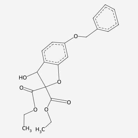 CCOC(=O)C1(C(=O)OCC)Oc2cc(OCc3ccccc3)ccc2C1O